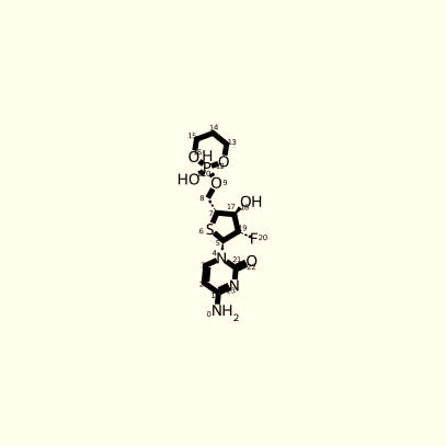 Nc1ccn([C@@H]2S[C@H](CO[PH]3(O)OCCCO3)[C@@H](O)[C@@H]2F)c(=O)n1